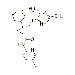 Cc1cnc(OC[C@@]2(C3C=CC=CC3)C[C@H]2C(=O)Nc2ccc(F)cn2)c(C)n1